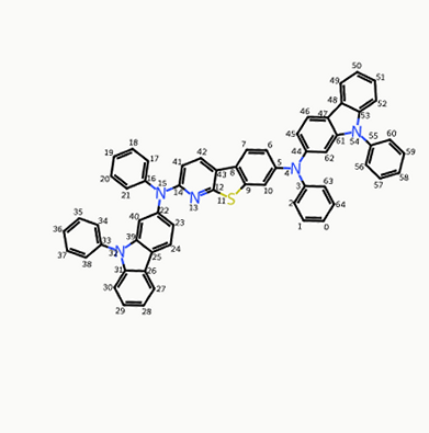 c1ccc(N(c2ccc3c(c2)sc2nc(N(c4ccccc4)c4ccc5c6ccccc6n(-c6ccccc6)c5c4)ccc23)c2ccc3c4ccccc4n(-c4ccccc4)c3c2)cc1